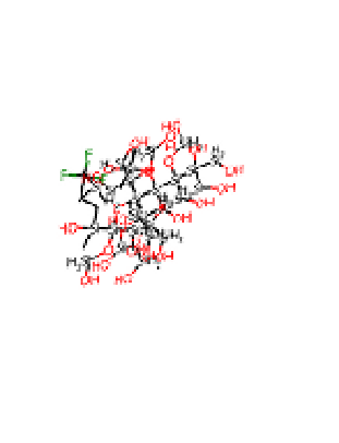 C[Si](C)(C)O[Si](C)(C)O[Si](O[Si](O[SiH2]O)([SiH2]O)[SiH2]O)([Si](O[SiH2]O)([SiH2]O)[Si](O)([SiH2]O)[SiH2]O)[Si](O[Si](O[SiH2]O)([SiH2]O)[Si](C)(O)CCC(F)(F)F)([Si](O[SiH2]O)([SiH2]O)[SiH2]O)[Si](O[SiH2]O)([SiH2]O)[SiH2]O